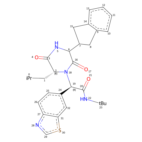 CC(C)C[C@@H]1C(=O)NC(C2Cc3ccccc3C2)C(=O)N1[C@@H](C(=O)NC(C)(C)C)c1ccc2ncsc2c1